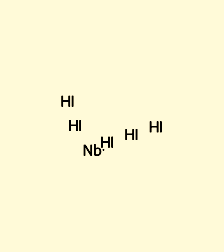 I.I.I.I.I.[Nb]